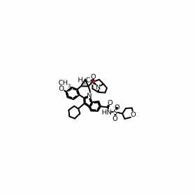 COc1ccc2c(c1)C1CC1(C(=O)N1C3CCC1CN(C)C3)Cn1c-2c(C2CCCCC2)c2ccc(C(=O)NS(=O)(=O)C3CCOCC3)cc21